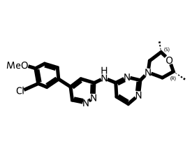 COc1ccc(-c2cnnc(Nc3ccnc(N4C[C@@H](C)O[C@@H](C)C4)n3)c2)cc1Cl